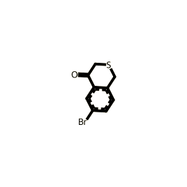 O=C1CSCc2ccc(Br)cc21